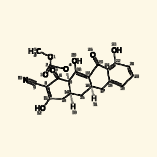 COC(=O)O[C@@]12C(=O)C(C#N)=C(O)C[C@@H]1C[C@@H]1Cc3cccc(O)c3C(=O)C1=C2O